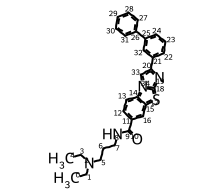 CCN(CC)CCCNC(=O)c1ccc2c(c1)sc1nc(-c3cccc(-c4ccccc4)c3)cn12